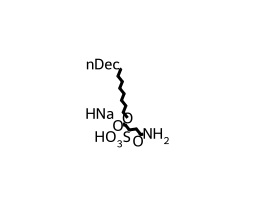 CCCCCCCCCCCCCCCCCCOC(=O)C(CC(N)=O)S(=O)(=O)O.[NaH]